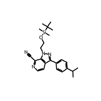 CC(C)c1ccc(-c2nn(CCO[Si](C)(C)C(C)(C)C)c3c(C#N)nccc23)cc1